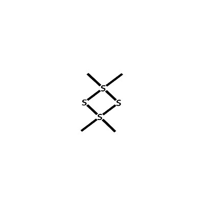 CS1(C)SS(C)(C)S1